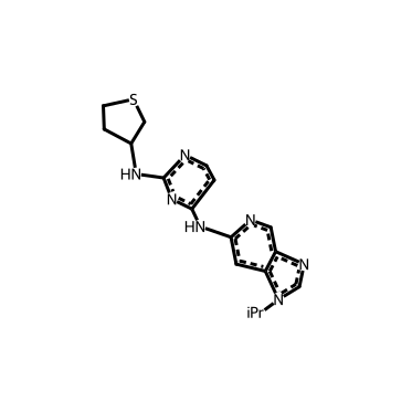 CC(C)n1cnc2cnc(Nc3ccnc(NC4CCSC4)n3)cc21